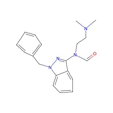 CN(C)CCN(C=O)c1nn(Cc2ccccc2)c2ccccc12